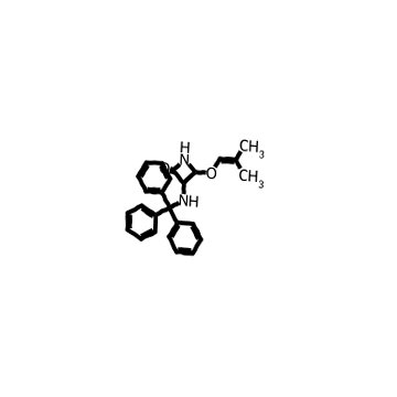 CC(C)=COC1NC(=O)C1NC(c1ccccc1)(c1ccccc1)c1ccccc1